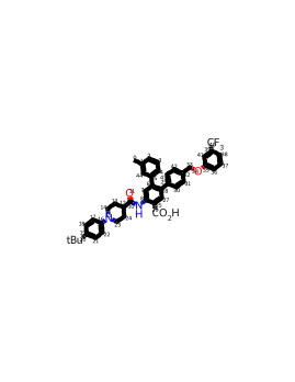 Cc1cccc(-c2cc(NC(=O)C3CCN(c4ccc(C(C)(C)C)cc4)CC3)c(C(=O)O)cc2-c2ccc(COc3cccc(C(F)(F)F)c3)cc2)c1